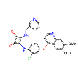 COc1cc2nccc(Oc3ccc(Nc4c(NCc5cccnc5)c(=O)c4=O)c(Cl)c3)c2cc1C=O